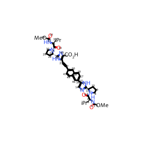 COC(=O)N[C@H](C(=O)N1CCC[C@H]1c1ncc(-c2ccc3cc(C#Cc4[nH]c([C@@H]5CCCN5C(=O)[C@@H](NC(=O)OC)C(C)C)nc4C(=O)O)ccc3c2)[nH]1)C(C)C